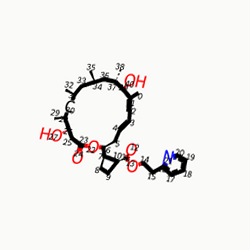 C/C1=C/C=C/C[C@@H]([C@@H]2CC[C@H]2C(=O)OCCc2ccccn2)OC(=O)C[C@H](O)[C@@H](C)C[C@@H](C)C[C@@H](C)C[C@H](C)[C@H]1O